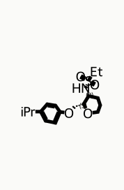 CCS(=O)(=O)N[C@@H]1CCCO[C@@H]1COc1ccc(C(C)C)cc1